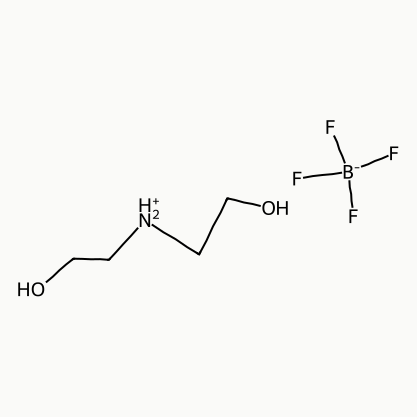 F[B-](F)(F)F.OCC[NH2+]CCO